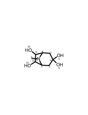 CN1C2CC(O)(O)CC1C(O)C2O